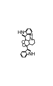 O=C(c1c[nH]c2ccccc12)C1CCCNC1C(=O)c1c[nH]c2ccccc12